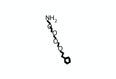 NCCOCCOCCOCCOCCCc1ccccc1